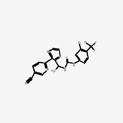 CC(NC(=O)Nc1ccc(C(F)(F)F)c(Cl)c1)c1nccnc1-c1ccc(C#N)cn1